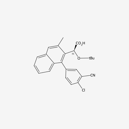 Cc1cc2ccccc2c(-c2ccc(Cl)c(C#N)c2)c1[C@H](OC(C)(C)C)C(=O)O